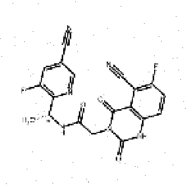 C[C@@H](NC(=O)Cn1c(=O)[nH]c2ccc(F)c(C#N)c2c1=O)c1ncc(C#N)cc1F